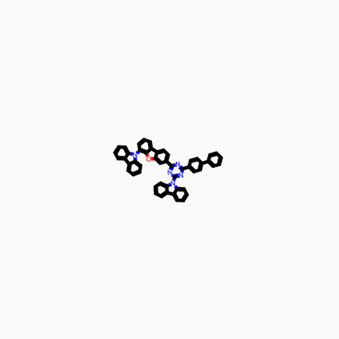 c1ccc(-c2ccc(-c3nc(-c4ccc5c(c4)oc4c(-n6c7ccccc7c7ccccc76)cccc45)nc(-n4c5ccccc5c5ccccc54)n3)cc2)cc1